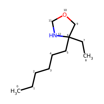 CCCCCCC1(CC)COCN1